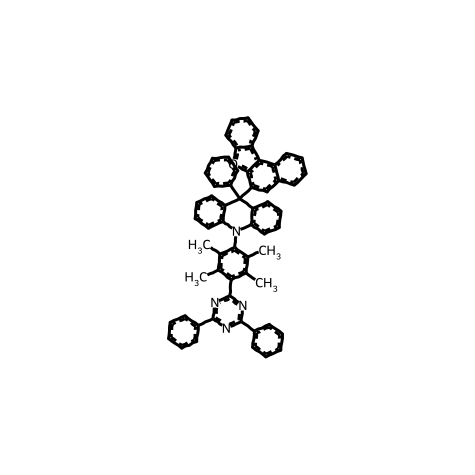 Cc1c(C)c(N2c3ccccc3C(c3ccccc3)(c3cc4ccccc4c4c3oc3ccccc34)c3ccccc32)c(C)c(C)c1-c1nc(-c2ccccc2)nc(-c2ccccc2)n1